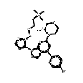 C[C@@H]1COCCN1c1cc(-c2ccc(Br)cc2)c2cnn(-c3ccnn3COCC[Si](C)(C)C)c2n1